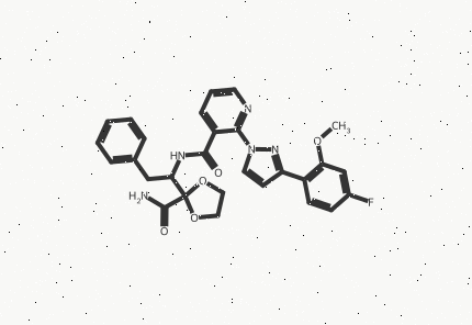 COc1cc(F)ccc1-c1ccn(-c2ncccc2C(=O)NC(Cc2ccccc2)C2(C(N)=O)OCCO2)n1